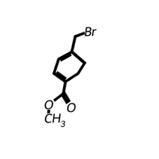 COC(=O)C1=CC=C(CBr)CC1